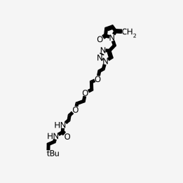 C=C1C=CC(=O)N1Cc1cn(CCOCCOCCOCCNC(=O)NCCC(C)(C)C)nn1